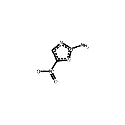 Nn1ncc([N+](=O)[O-])n1